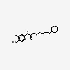 Cc1cc(NC(=O)CSCCCOC2CCCCC2)ccc1N